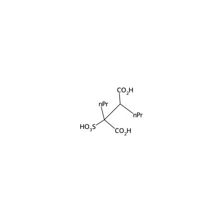 CCCC(C(=O)O)C(CCC)(C(=O)O)S(=O)(=O)O